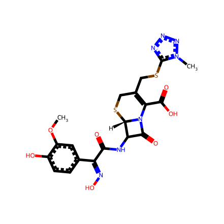 COc1cc(C(=NO)C(=O)NC2C(=O)N3C(C(=O)O)=C(CSc4nnnn4C)CS[C@@H]23)ccc1O